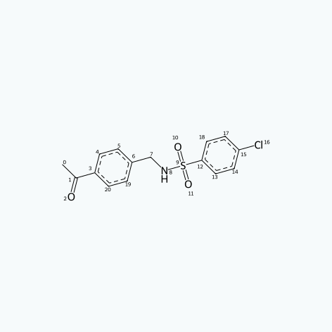 CC(=O)c1ccc(CNS(=O)(=O)c2ccc(Cl)cc2)cc1